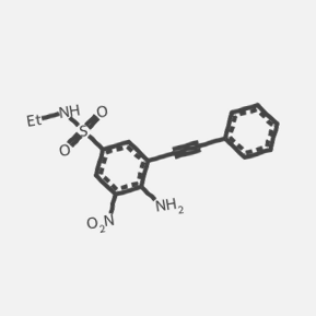 CCNS(=O)(=O)c1cc(C#Cc2ccccc2)c(N)c([N+](=O)[O-])c1